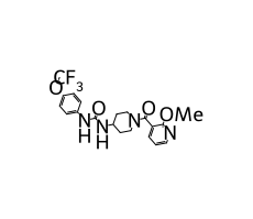 COc1ncccc1C(=O)N1CCC(NC(=O)Nc2ccc(OC(F)(F)F)cc2)CC1